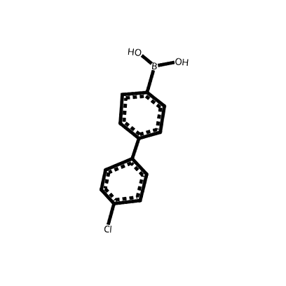 OB(O)c1ccc(-c2ccc(Cl)cc2)cc1